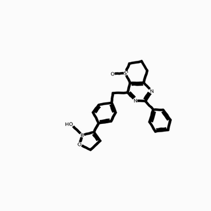 [O-][S+]1CCCc2nc(-c3ccccc3)nc(Cc3ccc(C4=CCOB4O)cc3)c21